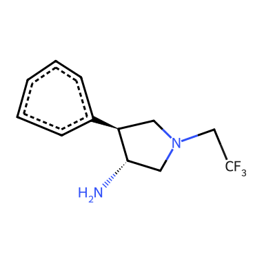 N[C@H]1CN(CC(F)(F)F)C[C@@H]1c1ccccc1